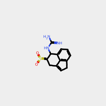 N=C(N)NC1C(=S(=O)=O)CC2=CCc3cccc1c32